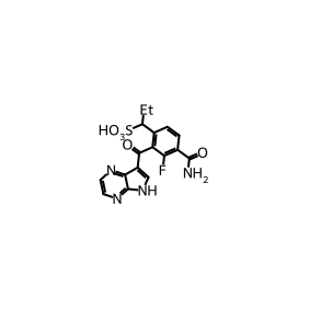 CCC(c1ccc(C(N)=O)c(F)c1C(=O)c1c[nH]c2nccnc12)S(=O)(=O)O